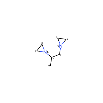 CC(CN1CC1)N1CC1